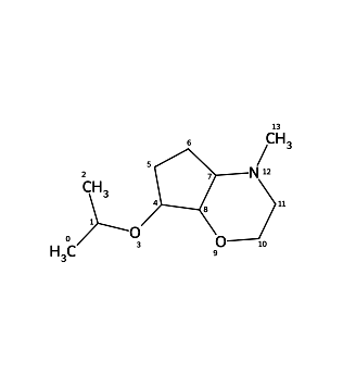 CC(C)OC1CCC2C1OCCN2C